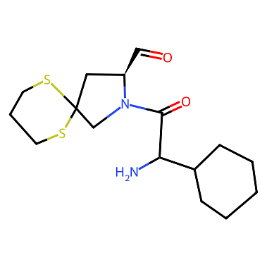 NC(C(=O)N1CC2(C[C@H]1C=O)SCCCS2)C1CCCCC1